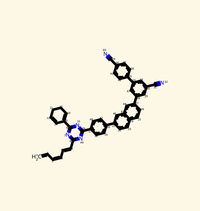 C=C/C=C\C=C\c1nc(C2=CCCC=C2)nc(-c2ccc(-c3ccc4ccc(-c5cc(C#N)cc(-c6ccc(C#N)cc6)c5)cc4c3)cc2)n1